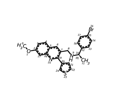 COc1ccc2cc(CN[C@H](C)c3ccc(Br)cc3)c(-c3ccsc3)nc2c1